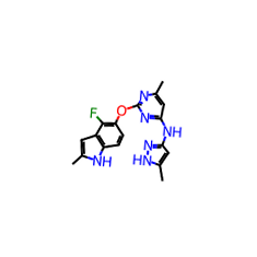 Cc1cc(Nc2cc(C)[nH]n2)nc(Oc2ccc3[nH]c(C)cc3c2F)n1